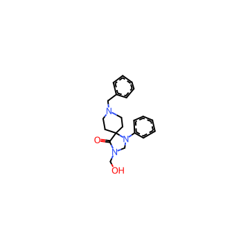 O=C1N(CO)CN(c2ccccc2)C12CCN(Cc1ccccc1)CC2